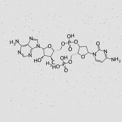 C[C@@H]1[C@@H](COP(=O)(O)OC2CC(n3ccc(N)nc3=O)O[C@@H]2COP(=O)(O)O)OC(n2cnc3c(N)ncnc32)[C@@H]1O